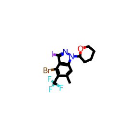 Cc1cc2c(c(I)nn2C2CCCCO2)c(Br)c1C(F)(F)F